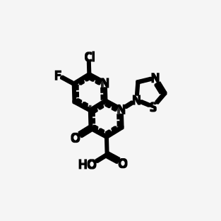 O=C(O)c1cn(N2CN=CS2)c2nc(Cl)c(F)cc2c1=O